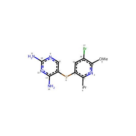 COc1nc(C(C)C)c(Sc2cnc(N)nc2N)cc1Br